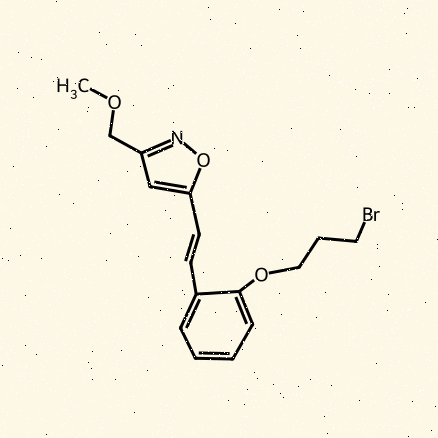 COCc1cc(C=Cc2ccccc2OCCCBr)on1